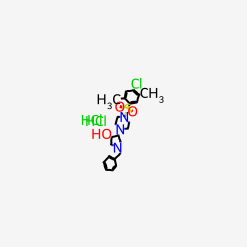 Cc1cc(S(=O)(=O)N2CCN(C3CN(Cc4ccccc4)CC3O)CC2)c(C)cc1Cl.Cl.Cl